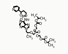 CC(C)OC(=O)OCOP(=O)(CO[C@H](C)Cn1cnc2c(NP3(=O)OCCC(c4cccnc4)O3)ncnc21)OCOC(=O)OC(C)C